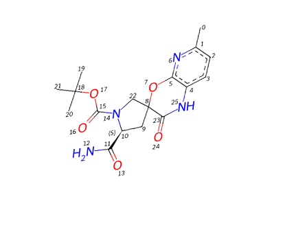 Cc1ccc2c(n1)OC1(C[C@@H](C(N)=O)N(C(=O)OC(C)(C)C)C1)C(=O)N2